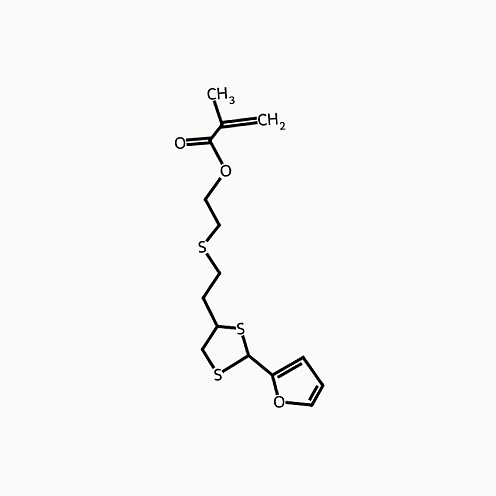 C=C(C)C(=O)OCCSCCC1CSC(c2ccco2)S1